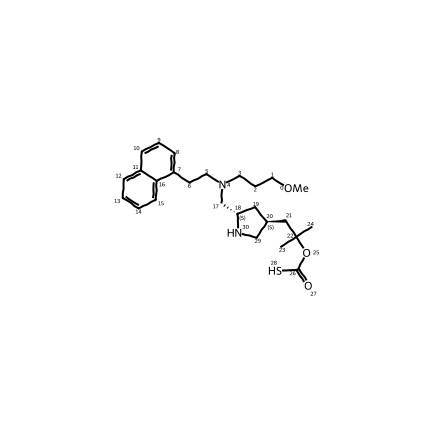 COCCCN(CCc1cccc2ccccc12)C[C@@H]1C[C@@H](CC(C)(C)OC(=O)S)CN1